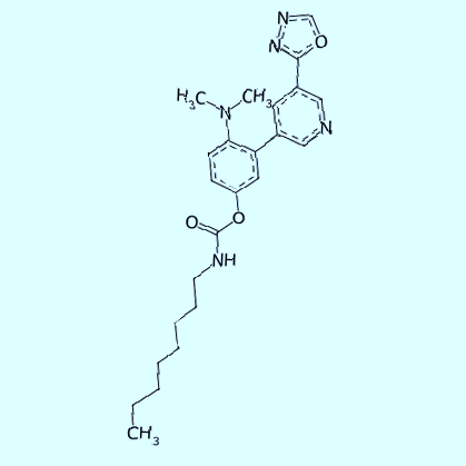 CCCCCCCCNC(=O)Oc1ccc(N(C)C)c(-c2cncc(-c3nnco3)c2)c1